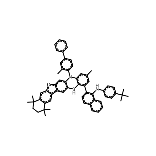 Cc1cc(-c2ccc3ccccc3c2Nc2ccc(C(C)(C)C)cc2)c2c(c1)N(c1ccc(-c3ccccc3)cc1C)c1cc3oc4cc5c(cc4c3cc1B2)C(C)(C)CCC5(C)C